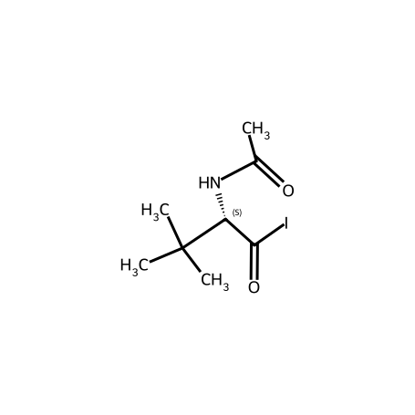 CC(=O)N[C@H](C(=O)I)C(C)(C)C